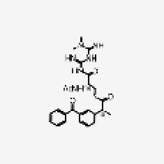 CC(=O)N[C@@H](CSC(=O)[C@@H](C)c1cccc(C(=O)c2ccccc2)c1)C(=O)NC(=N)NC(=N)N(C)C